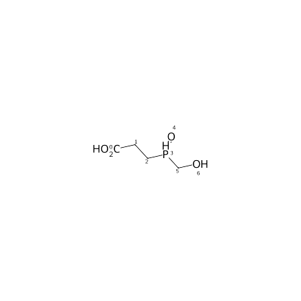 O=C(O)CC[PH](=O)CO